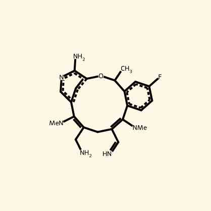 CN/C1=C(\CN)C/C(C=N)=C(/NC)c2ccc(F)cc2C(C)Oc2cc1cnc2N